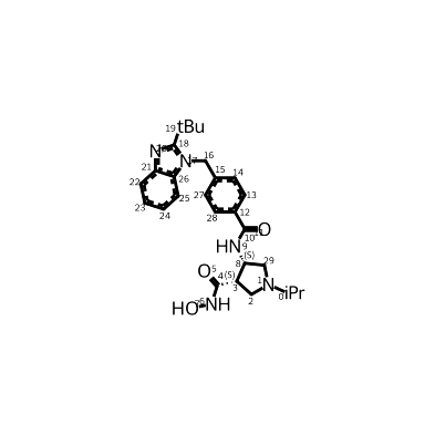 CC(C)N1C[C@H](C(=O)NO)[C@H](NC(=O)c2ccc(Cn3c(C(C)(C)C)nc4ccccc43)cc2)C1